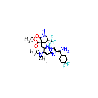 COC(=O)C1(Cc2nn3cc([C@@H](N)C4CCC(F)(F)CC4)nc3cc2N(C)C)C[C@@H](C(F)(F)F)CNC1=O